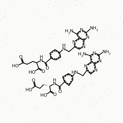 Nc1nc(N)c2nc(CNc3ccc(C(=O)NC(CCC(=O)O)C(=O)O)cc3)cnc2n1.Nc1nc(N)c2nc(CNc3ccc(C(=O)N[C@@H](CCC(=O)O)C(=O)O)cc3)cnc2n1